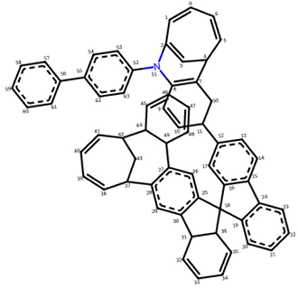 C1=CC2=CC(C=C1)C1=C(C=CC(c3ccc4c(c3)C3(c5ccccc5-4)c4cc5c(cc4C4C=CC=CC43)C3C=CC=CC(C3)C3C=CC=CC53)C1)N2c1ccc(-c2ccccc2)cc1